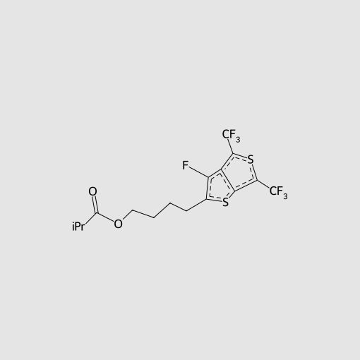 CC(C)C(=O)OCCCCc1sc2c(C(F)(F)F)sc(C(F)(F)F)c2c1F